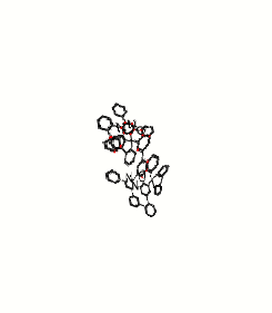 c1ccc(-c2cc(-c3cccc(-c4ccccc4-c4ccc5c(c4)C4(c6ccccc6O5)c5ccccc5-c5ccccc54)c3)nc(-c3cccc(-c4ccc5c(c4)C4(c6cc(-c7ccccc7-c7ccccc7-c7cc(-c8ccccc8)nc(-c8ccccc8)n7)ccc6O5)c5ccccc5-c5ccccc54)c3)n2)cc1